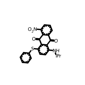 CC(C)Nc1ccc(Sc2ccccc2)c2c1C(=O)c1cccc([N+](=O)[O-])c1C2=O